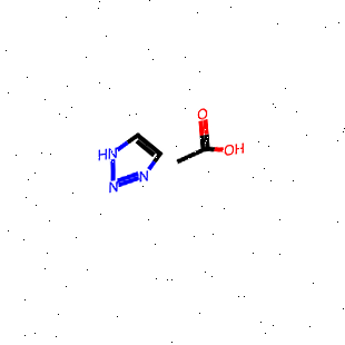 CC(=O)O.c1c[nH]nn1